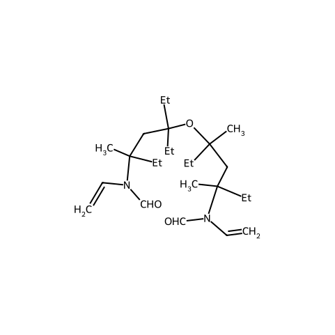 C=CN(C=O)C(C)(CC)CC(C)(CC)OC(CC)(CC)CC(C)(CC)N(C=C)C=O